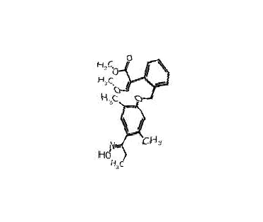 CC/C(=N\O)c1cc(C)c(OCc2ccccc2/C(=C/OC)C(=O)OC)cc1C